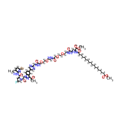 COC(=O)CCCCCCCCCCCCCCCCC(=O)N[C@@H](CCC(=O)NCCOCCOCC(=O)NCCOCCOCC(=O)NCc1ncc(-c2ccc3c(c2)c(C(C)=O)nn3CC(=O)N2C[C@H](F)C[C@H]2C(=O)Nc2nc(Br)ccc2C)cn1)C(=O)OC